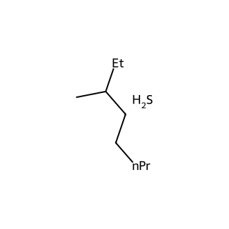 CCCCCC(C)CC.S